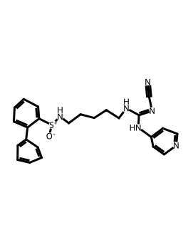 N#C/N=C(\NCCCCCN[S+]([O-])c1ccccc1-c1ccccc1)Nc1ccncc1